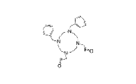 O=PCN1CCN(CP=O)CCN(Cc2ccccc2)CCN(Cc2ccccc2)CC1